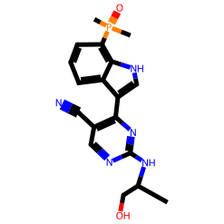 CC(CO)Nc1ncc(C#N)c(-c2c[nH]c3c(P(C)(C)=O)cccc23)n1